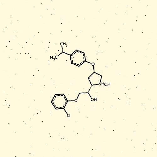 CC(C)c1ccc(O[C@H]2CN[C@H](C(O)COc3ccccc3Cl)C2)cc1.Cl